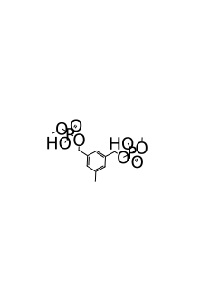 COP(=O)(O)OCc1cc(C)cc(COP(=O)(O)OC)c1